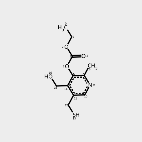 CCOC(=O)Oc1c(C)ncc(CS)c1CO